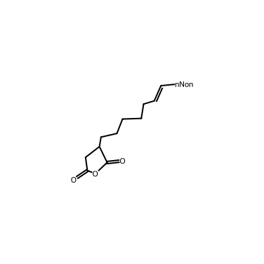 CCCCCCCCCC=CCCCCCC1CC(=O)OC1=O